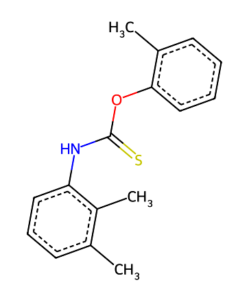 Cc1ccccc1OC(=S)Nc1cccc(C)c1C